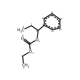 CCOC(=O)OC(CC)c1ccccc1